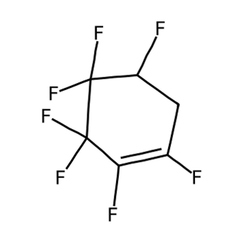 FC1=C(F)C(F)(F)C(F)(F)C(F)C1